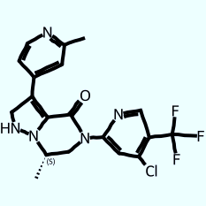 Cc1cc(C2=C3C(=O)N(c4cc(Cl)c(C(F)(F)F)cn4)C[C@H](C)N3NC2)ccn1